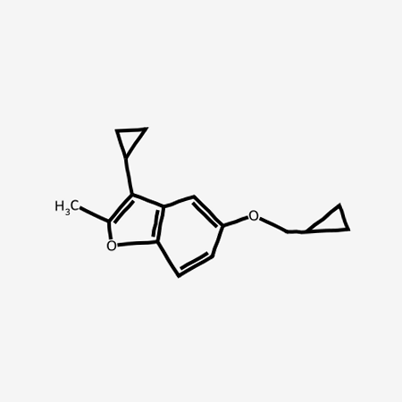 Cc1oc2ccc(OCC3CC3)cc2c1C1CC1